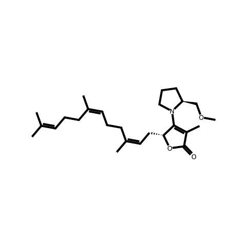 COC[C@@H]1CCCN1C1=C(C)C(=O)O[C@@H]1CC=C(C)CCC=C(C)CCC=C(C)C